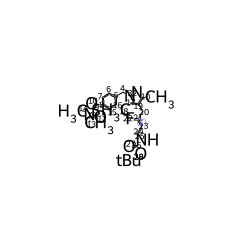 Cc1nn(Cc2ccc(S(=O)(=O)N(C)C)cc2)c(C)c1C/C(F)=C/CNC(=O)OC(C)(C)C